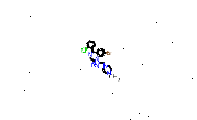 CN1CCN(Cc2nnc3n2-c2cc(Br)ccc2C(c2ccccc2Cl)=NC3)CC1